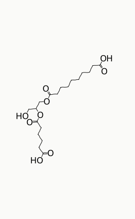 O=C(O)CCCCCCCCC(=O)OCC(CO)OC(=O)CCCCC(=O)O